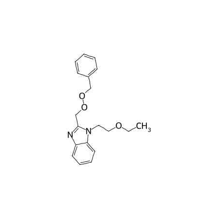 CCOCCn1c(COOCc2ccccc2)nc2ccccc21